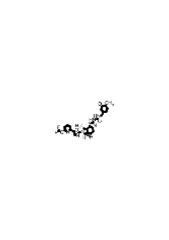 CC1C=CC(CNC(=O)Nc2nc3c(s2)C2[C@@H]4[C@H](C3)[C@@H]4N(c3ncc(-c4cccc(OC(F)F)n4)o3)[C@H]2C)=CC1=O